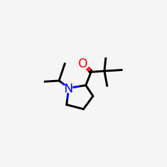 CC(C)N1CCCC1C(=O)C(C)(C)C